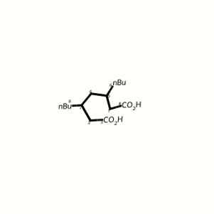 CCCCC(CC(=O)O)CC(CCCC)CC(=O)O